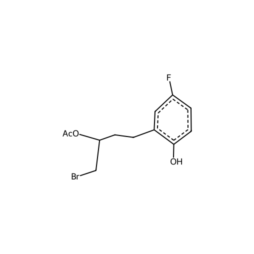 CC(=O)OC(CBr)CCc1cc(F)ccc1O